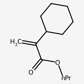 C=C(C(=O)OCCC)C1CCCCC1